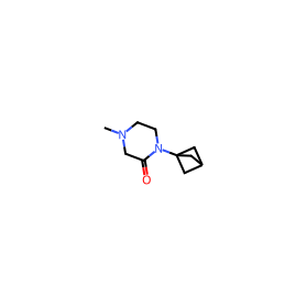 CN1CCN(C23CC(C2)C3)C(=O)C1